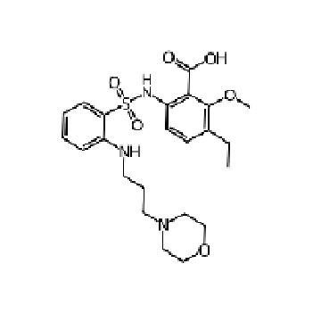 CCc1ccc(NS(=O)(=O)c2ccccc2NCCCN2CCOCC2)c(C(=O)O)c1OC